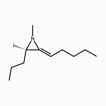 CCCC/C=C1\N(C)[C@]1(I)CCC